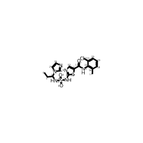 CCC(NS(=O)(=O)Nc1ncc(C(=O)Nc2c(C)cccc2Cl)s1)n1ccnc1